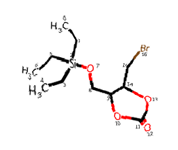 CC[Si](CC)(CC)OCC1OC(=O)OC1CBr